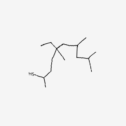 CCC(C)(CCC(C)S)CC(C)CC(C)C